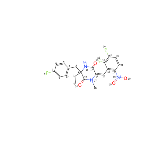 CCC1(Cc2ccc(F)cc2)NC(=O)/C(=C\c2c([N+](=O)[O-])ccc(F)c2F)N(C)C1=O